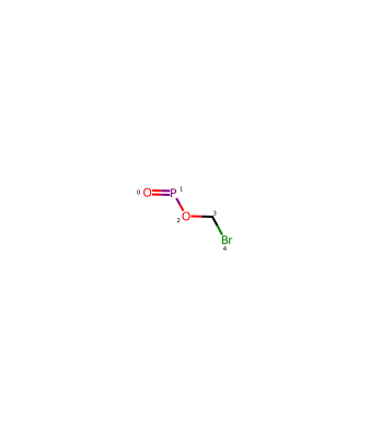 O=POCBr